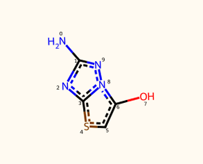 Nc1nc2scc(O)n2n1